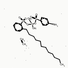 C=C.CCCCCCCCCCCCc1ccccc1S(=O)(=O)[O][Ti]([OH])([OH])[O]S(=O)(=O)c1ccc(N)cc1